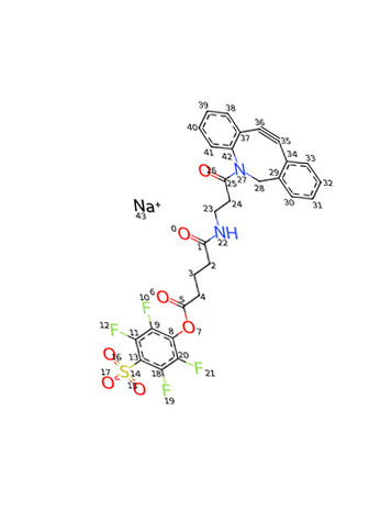 O=C(CCCC(=O)Oc1c(F)c(F)c(S(=O)(=O)[O-])c(F)c1F)NCCC(=O)N1Cc2ccccc2C#Cc2ccccc21.[Na+]